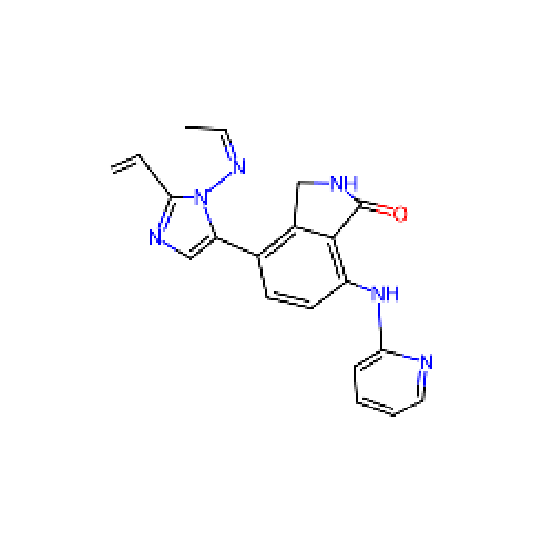 C=Cc1ncc(-c2ccc(Nc3ccccn3)c3c2CNC3=O)n1/N=C\C